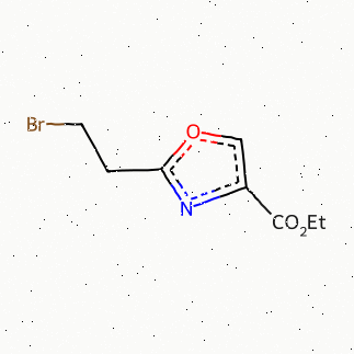 CCOC(=O)c1coc(CCBr)n1